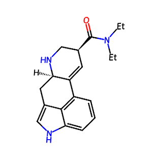 CCN(CC)C(=O)[C@H]1C=C2c3cccc4[nH]cc(c34)C[C@H]2NC1